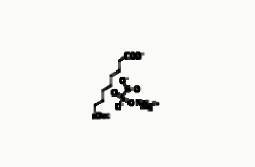 CCCCCCCCCCCCCCCCCC(=O)[O-].O=S([O-])S(=O)(=O)[O-].[Mg+2].[Na+]